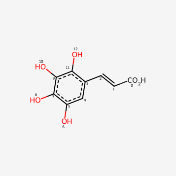 O=C(O)C=Cc1cc(O)c(O)c(O)c1O